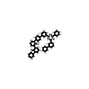 c1ccc(-c2cccc(-c3nc(-c4ccccc4)nc(-c4cccc(-c5ccc6c(c5)oc5c(-c7cccc8c7sc7ccccc78)cccc56)c4)n3)c2)cc1